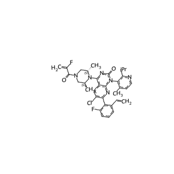 C=Cc1cccc(F)c1-c1nc2c(cc1Cl)c(N1[C@@H](C)CN(C(=O)C(=C)F)C[C@@H]1C)nc(=O)n2-c1c(C)ccnc1C(C)C